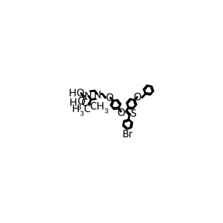 CC(C)(C)C1CN(CCOc2ccc(Oc3c(-c4ccc(Br)cc4)sc4cc(OCc5ccccc5)ccc34)cc2)CCN1C(=O)O